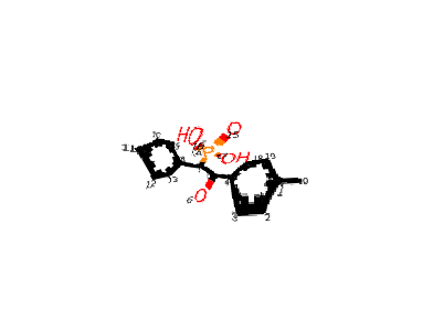 Cc1ccc(C(=O)C(c2ccccc2)P(=O)(O)O)cc1